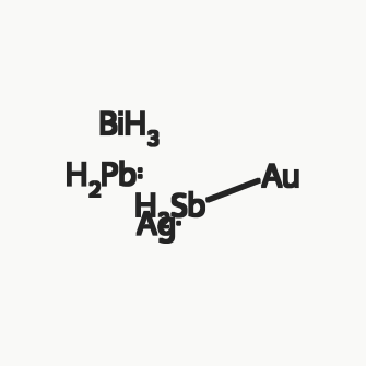 [Ag].[BiH3].[PbH2].[SbH2][Au]